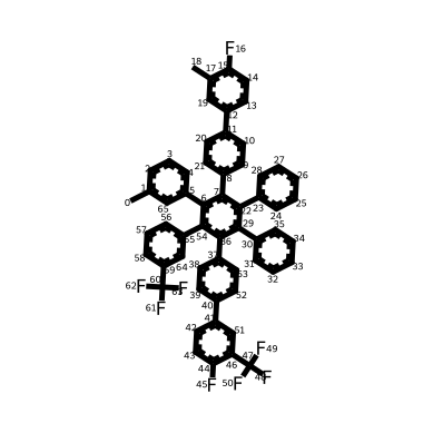 Cc1cccc(-c2c(-c3ccc(-c4ccc(F)c(C)c4)cc3)c(-c3ccccc3)c(-c3ccccc3)c(-c3ccc(-c4ccc(F)c(C(F)(F)F)c4)cc3)c2-c2cccc(C(F)(F)F)c2)c1